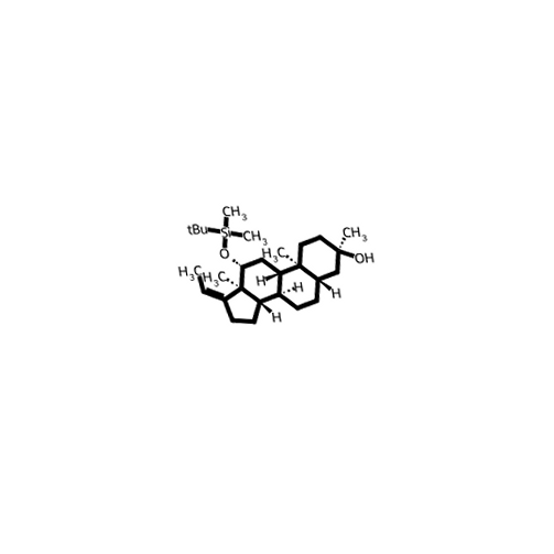 C/C=C1/CC[C@H]2[C@@H]3CC[C@H]4C[C@](C)(O)CC[C@]4(C)[C@H]3C[C@@H](O[Si](C)(C)C(C)(C)C)[C@]12C